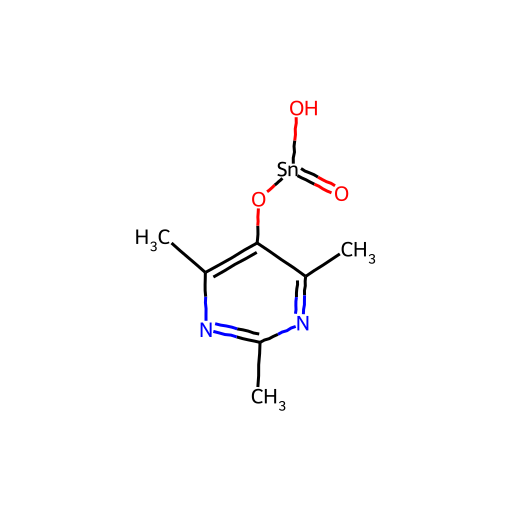 Cc1nc(C)c([O][Sn](=[O])[OH])c(C)n1